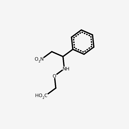 O=C(O)CONC(C[N+](=O)[O-])c1ccccc1